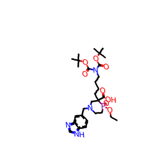 CCOP1(=O)CCN(Cc2ccc3[nH]cnc3c2)CC1(CCCCN(C(=O)OC(C)(C)C)C(=O)OC(C)(C)C)C(=O)O